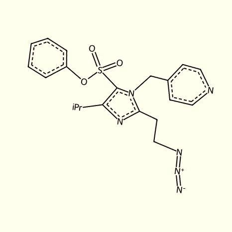 CC(C)c1nc(CCN=[N+]=[N-])n(Cc2ccncc2)c1S(=O)(=O)Oc1ccccc1